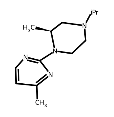 Cc1ccnc(N2CCN(C(C)C)C[C@@H]2C)n1